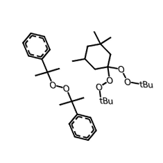 CC(C)(OOC(C)(C)c1ccccc1)c1ccccc1.CC1CC(C)(C)CC(OOC(C)(C)C)(OOC(C)(C)C)C1